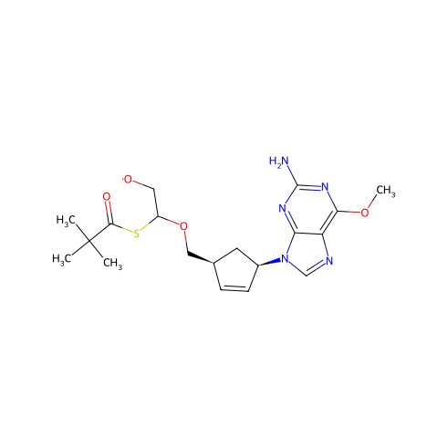 COc1nc(N)nc2c1ncn2[C@H]1C=C[C@@H](COC(C[O])SC(=O)C(C)(C)C)C1